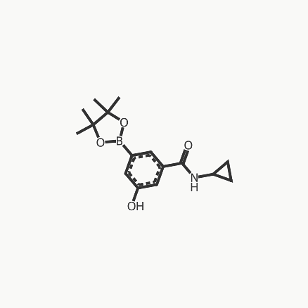 CC1(C)OB(c2cc(O)cc(C(=O)NC3CC3)c2)OC1(C)C